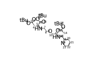 CC(C)(C)OC(=O)C[C@@H](NCCOCCN[C@H](CC(=O)OC(C)(C)C)c1ccccn1)C(=O)OC(C)(C)C